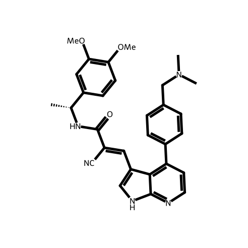 COc1ccc([C@@H](C)NC(=O)/C(C#N)=C/c2c[nH]c3nccc(-c4ccc(CN(C)C)cc4)c23)cc1OC